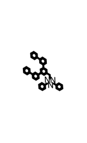 c1ccc(-c2cccc(-c3cc(Cc4nc(-c5ccccc5)nc(-c5ccccc5)n4)cc(-c4cccc(-c5ccccc5)c4)c3)c2)cc1